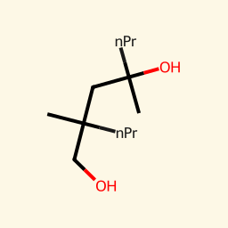 CCCC(C)(O)CC(C)(CO)CCC